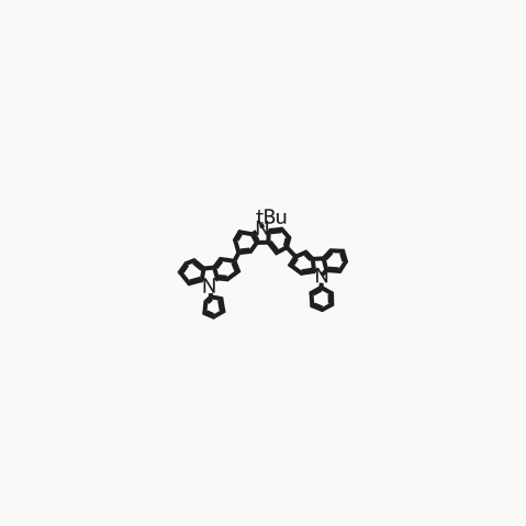 CC(C)(C)n1c2ccc(-c3ccc4c(c3)c3ccccc3n4-c3ccccc3)cc2c2cc(-c3ccc4c(c3)c3ccccc3n4-c3ccccc3)ccc21